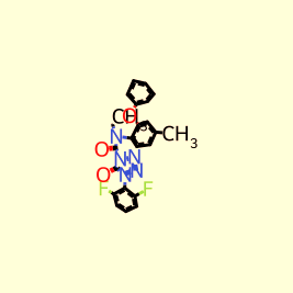 CCN(C(=O)n1nnn(-c2c(F)cccc2F)c1=O)c1ccc(C)cc1Oc1ccccc1